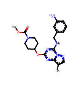 CC(C)c1cnn2c(NCc3cccc(N)c3)nc(OC3CCN(C(=O)OC(C)(C)C)CC3)nc12